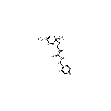 CC1=CCC(C)(OCNC(=O)OCc2ccccc2)CC1